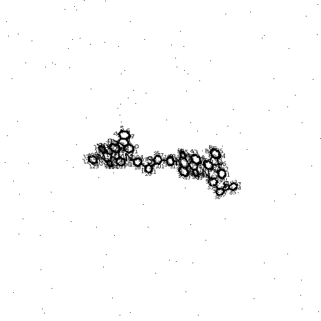 CC1(C)c2ccccc2-c2ccc(N(c3ccc(-c4cccc5c4sc4ccc(-c6ccc(N7c8ccccc8C8(c9ccccc9-c9c(N(c%10ccc(-c%11cccc%12c%11sc%11ccccc%11%12)cc%10)c%10ccc%11c(c%10)C(C)(c%10ccccc%10)c%10ccccc%10-%11)cccc98)c8ccccc87)cc6)cc45)cc3)c3cccc4c3-c3ccccc3C43c4ccccc4N(c4ccccc4)c4ccccc43)cc21